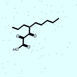 CCCCCC(CCC)C(=O)C(=O)C(=O)O